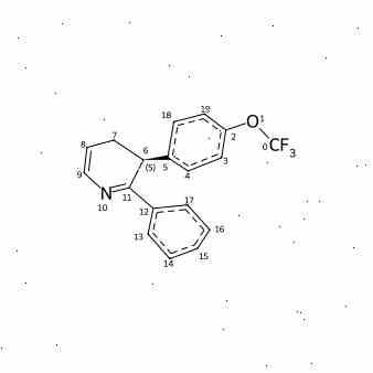 FC(F)(F)Oc1ccc([C@@H]2CC=CN=C2c2ccccc2)cc1